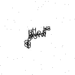 CBCC1CC1CN(C)c1cc(-c2nc(C(=O)Nc3cn(C4CCC(C(=O)OC(=O)OC(C)C)CC4)nc3C(F)F)co2)ccn1